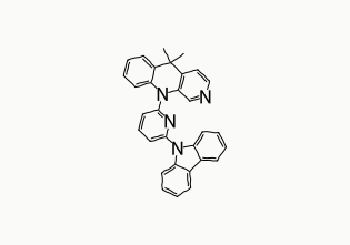 CC1(C)c2ccccc2N(c2cccc(-n3c4ccccc4c4ccccc43)n2)c2cnccc21